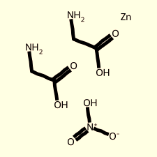 NCC(=O)O.NCC(=O)O.O=[N+]([O-])O.[Zn]